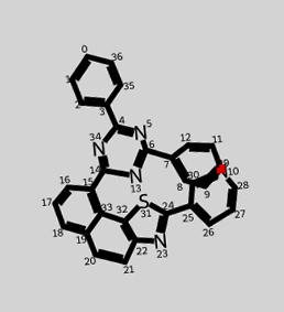 c1ccc(-c2nc(-c3ccccc3)nc(-c3cccc4ccc5nc(-c6cccnc6)sc5c34)n2)cc1